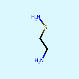 NCCSN